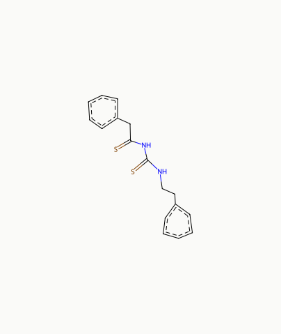 S=C(Cc1ccccc1)NC(=S)NCCc1ccccc1